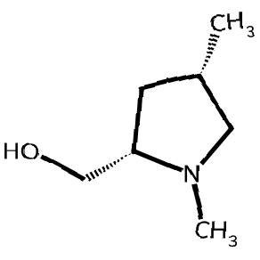 C[C@H]1C[C@@H](CO)N(C)C1